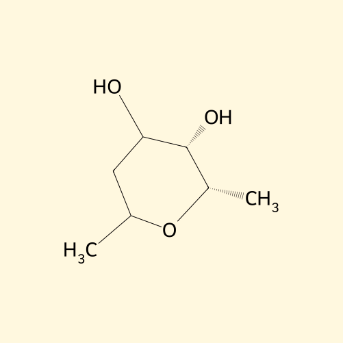 CC1CC(O)[C@H](O)[C@H](C)O1